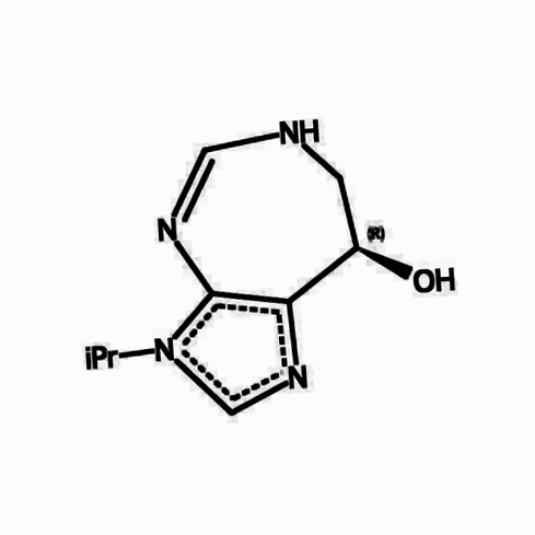 CC(C)n1cnc2c1N=CNC[C@H]2O